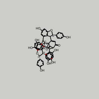 O=C1C=C2C3c4c(cc(O)cc4C4c5c(O)cc6c(c5[C@@H]5C(c7ccc(O)cc7)C1C(=O)[C@@]25[C@@H]4c1ccc(O)cc1)[C@@H](c1cc(O)cc(O)c1)[C@H](c1ccc(O)cc1)O6)O[C@H]3c1ccc(O)cc1